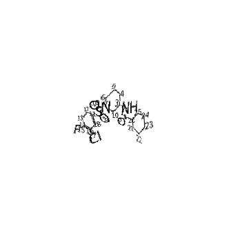 O=C(N[C@H]1CCCN(S(=O)(=O)c2ccc(F)c(Cl)c2)C1)C1CCCCC1